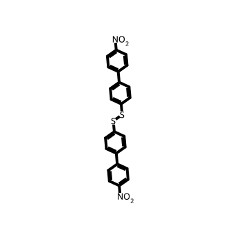 O=[N+]([O-])c1ccc(-c2ccc(SSc3ccc(-c4ccc([N+](=O)[O-])cc4)cc3)cc2)cc1